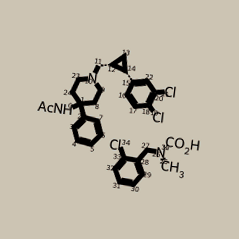 CC(=O)NC1(c2ccccc2)CCN(C[C@@H]2C[C@@H]2c2ccc(Cl)c(Cl)c2)CC1.CN(Cc1ccccc1Cl)C(=O)O